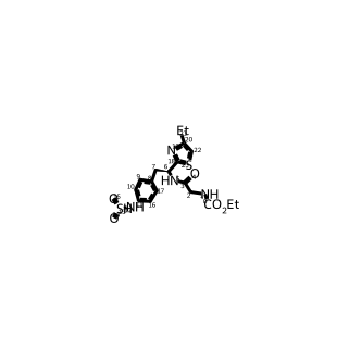 CCOC(=O)NCC(=O)N[C@@H](Cc1ccc(N[SH](=O)=O)cc1)c1nc(CC)cs1